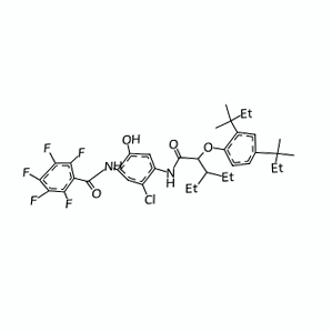 CCC(CC)C(Oc1ccc(C(C)(C)CC)cc1C(C)(C)CC)C(=O)Nc1cc(O)c(NC(=O)c2c(F)c(F)c(F)c(F)c2F)cc1Cl